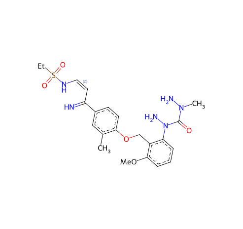 CCS(=O)(=O)N/C=C\C(=N)c1ccc(OCc2c(OC)cccc2N(N)C(=O)N(C)N)c(C)c1